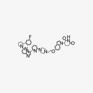 O=C1CCC(n2ccc3cc(OCCN4CCN(c5cccc(-c6cnc7ccc(N8CCCC8c8cccc(F)c8)nn67)n5)CC4)ccc32)C(=O)N1